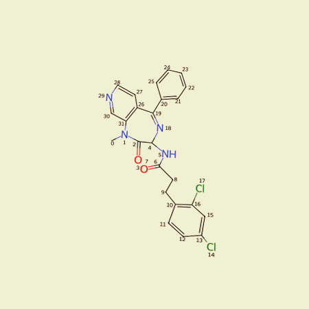 CN1C(=O)C(NC(=O)CCc2ccc(Cl)cc2Cl)N=C(c2ccccc2)c2ccncc21